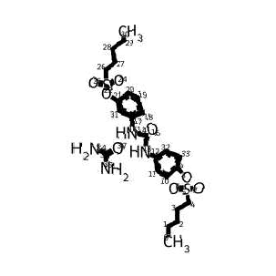 CCCCCS(=O)(=O)Oc1ccc(NC(=O)Nc2cccc(OS(=O)(=O)CCCCC)c2)cc1.NC(N)=O